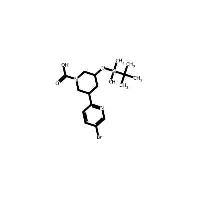 CC(C)(C)[Si](C)(C)OC1CC(c2ccc(Br)cn2)CN(C(=O)O)C1